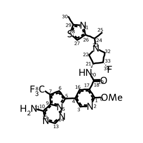 COc1ncc(-c2cc(C(F)(F)F)c3c(N)ncnn23)cc1C(=O)N[C@@H]1CN(C(C)c2csc(C)n2)C[C@@H]1F